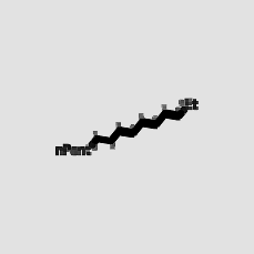 [CH2]CCCCCC/C=C/C=C/C=C/CC